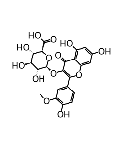 COc1cc(-c2oc3cc(O)cc(O)c3c(=O)c2O[C@@H]2O[C@H](C(=O)O)[C@@H](O)[C@H](O)[C@H]2O)ccc1O